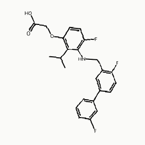 CC(C)c1c(OCC(=O)O)ccc(F)c1NCc1cc(-c2cccc(F)c2)ccc1F